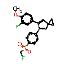 COc1ccc(C2=CC3(C=C2c2ccc(S(=O)(=O)CF)cc2)CC3)cc1F